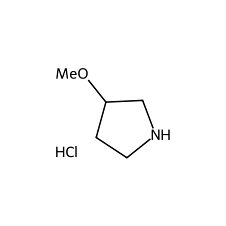 COC1CCNC1.Cl